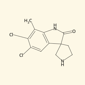 Cc1c(Cl)c(Cl)cc2c1NC(=O)C21CCNC1